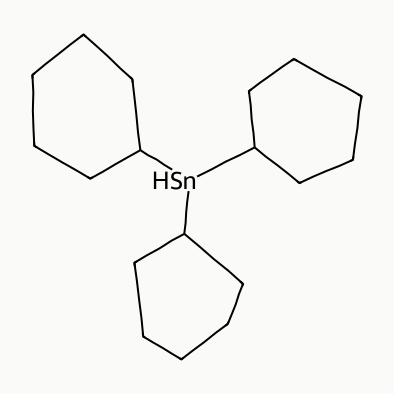 C1CC[CH]([SnH]([CH]2CCCCC2)[CH]2CCCCC2)CC1